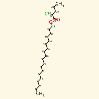 CCCCCCCCCCCCCCCCCCCOC(=O)C(Cl)CCC